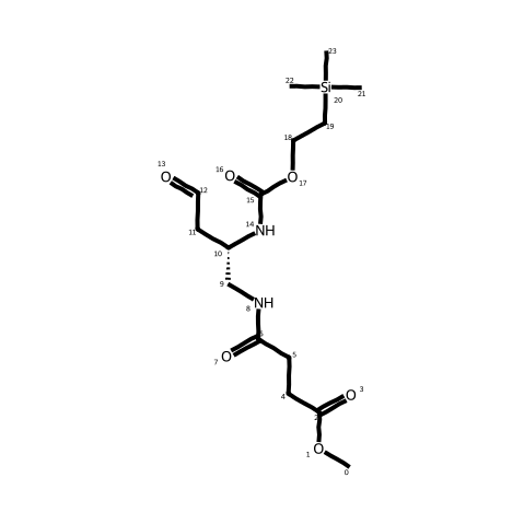 COC(=O)CCC(=O)NC[C@H](CC=O)NC(=O)OCC[Si](C)(C)C